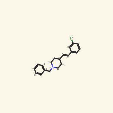 Fc1cccc(C=CC2CCN(Cc3ccccc3)CC2)c1